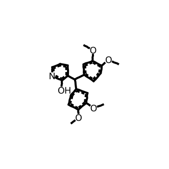 COc1ccc(C(c2ccc(OC)c(OC)c2)c2cccnc2O)cc1OC